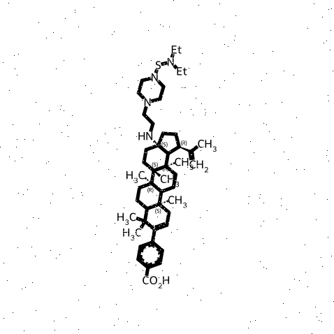 C=C(C)[C@@H]1CC[C@]2(NCCN3CCN(SN(CC)CC)CC3)CC[C@]3(C)[C@](C)(CCC4[C@@]5(C)CC=C(c6ccc(C(=O)O)cc6)C(C)(C)C5CC[C@]43C)C12